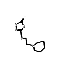 S=C1[N]N=C(SCCN2CCCCC2)S1